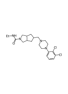 CCNC(=O)N1CC2CC(CN3CCN(c4cccc(Cl)c4Cl)CC3)CC2C1